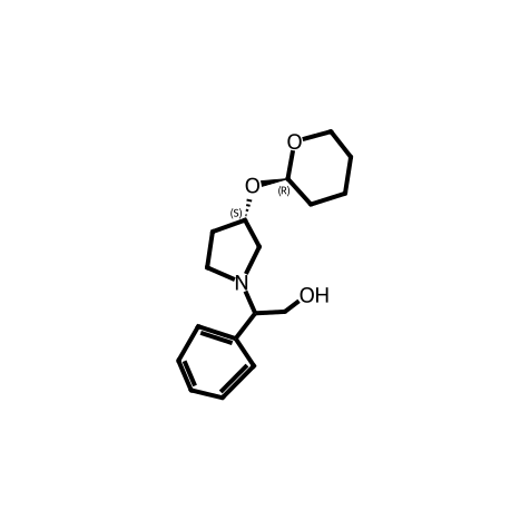 OCC(c1ccccc1)N1CC[C@H](O[C@@H]2CCCCO2)C1